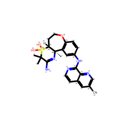 CC1(C)C(N)=N[C@]2(C)c3cc(Nc4nccc5cc(C#N)cnc45)ccc3OCC[C@H]2S1(O)O